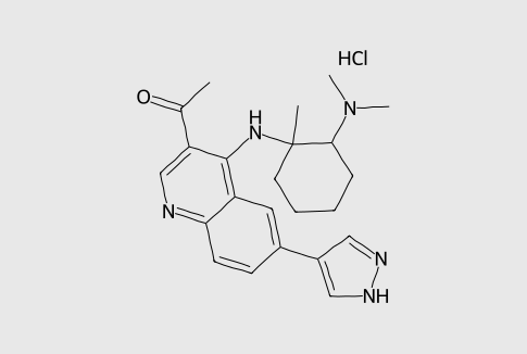 CC(=O)c1cnc2ccc(-c3cn[nH]c3)cc2c1NC1(C)CCCCC1N(C)C.Cl